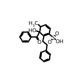 CC1C=CC(S(=O)(=O)O)=C(CCc2ccccc2)C1(O)C(=O)c1ccccc1